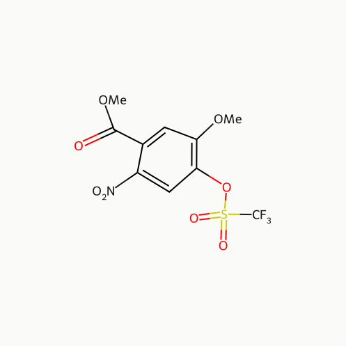 COC(=O)c1cc(OC)c(OS(=O)(=O)C(F)(F)F)cc1[N+](=O)[O-]